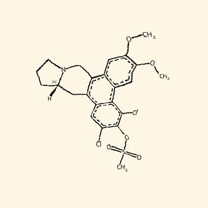 COc1cc2c3c(c4cc(Cl)c(OS(C)(=O)=O)c(Cl)c4c2cc1OC)C[C@@H]1CCCN1C3